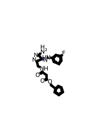 NC1=NN=C(CNC(=O)CC(=O)OCc2ccccc2)/C1=N/Nc1cccc(F)c1